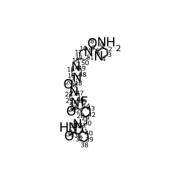 Nc1cccnc1C(=O)N1CCC(CN2CCN(CC(=O)N3CCN(C(=O)c4cc(Cc5n[nH]c(=O)c6ccccc56)ccc4F)CC3)CC2)CC1